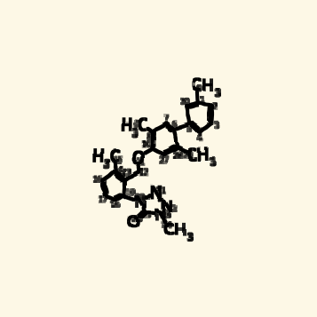 Cc1cccc(-c2cc(C)c(OCc3c(C)cccc3-n3nnn(C)c3=O)cc2C)c1